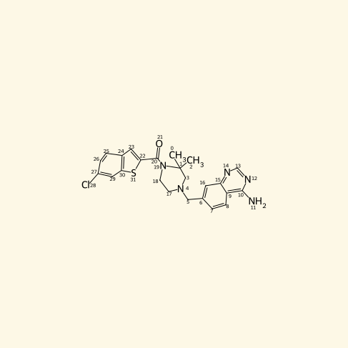 CC1(C)CN(Cc2ccc3c(N)ncnc3c2)CCN1C(=O)c1cc2ccc(Cl)cc2s1